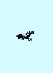 Cc1ccc(S(=O)(=O)n2cc(Br)c3cc(N)ncc32)cc1